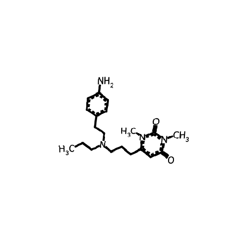 CCCN(CCCc1cc(=O)n(C)c(=O)n1C)CCc1ccc(N)cc1